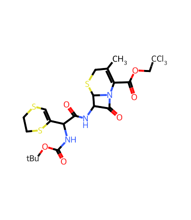 CC1=C(C(=O)OCC(Cl)(Cl)Cl)N2C(=O)C(NC(=O)C(NC(=O)OC(C)(C)C)C3=CSCCS3)C2SC1